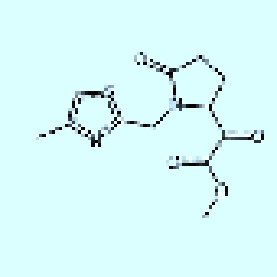 COC(=O)C(=O)C1CCC(=O)N1Cc1nc(C)cs1